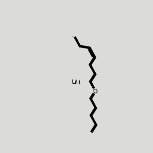 [CH2]C/C=C\CCCOCCCCC.[LiH]